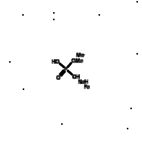 COP(=O)(O)O.[Fe].[Mn].[NaH]